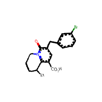 CCC1CCCn2c1c(C(=O)O)cc(Cc1cccc(Br)c1)c2=O